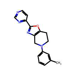 Cc1cccc(N2CCc3oc(-c4ccncn4)nc3C2)c1